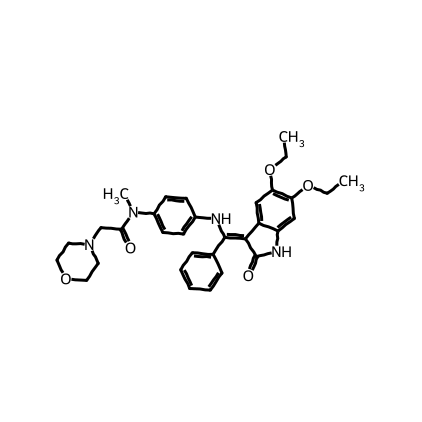 CCOc1cc2c(cc1OCC)C(=C(Nc1ccc(N(C)C(=O)CN3CCOCC3)cc1)c1ccccc1)C(=O)N2